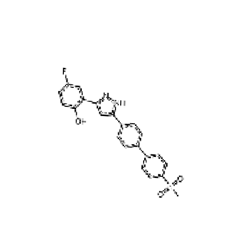 CS(=O)(=O)c1ccc(-c2ccc(-c3cc(-c4cc(F)ccc4O)n[nH]3)cc2)cc1